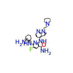 NC(=O)c1cc(F)c(N[C@@H]2CCCC[C@@H]2N)nc1Nc1ccnc2c1ccn2CCN1CCCCC1